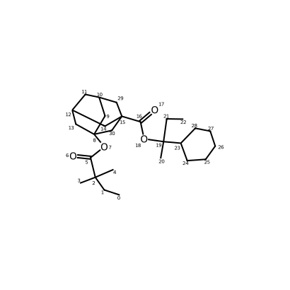 CCC(C)(C)C(=O)OC12CC3CC(C1)CC(C(=O)OC(C)(CC)C1CCCCC1)(C3)C2